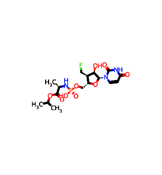 CC(C)OC(=O)[C@H](C)NP(=O)(O)OC[C@H]1O[C@@H](n2ccc(=O)[nH]c2=O)[C@H](O)[C@@H]1CF